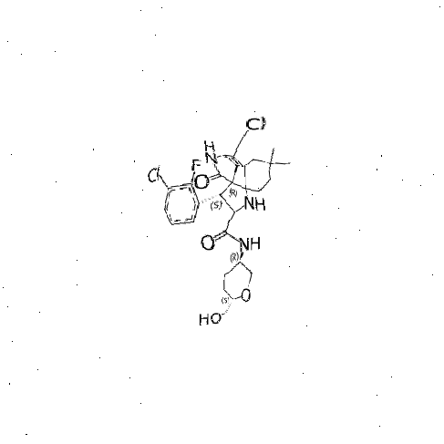 CC1(C)CCC2(CC1)NC(C(=O)N[C@@H]1CC[C@@H](CO)OC1)[C@H](c1cccc(Cl)c1F)[C@]21C(=O)Nc2cc(Cl)ccc21